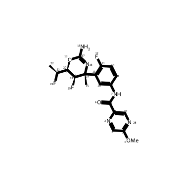 COc1cnc(C(=O)Nc2ccc(F)c([C@@]3(C)N=C(N)O[C@H]([C@H](C)F)[C@@H]3F)c2)cn1